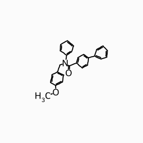 COc1ccc(CN(C(=O)c2ccc(-c3ccccc3)cc2)c2ccccc2)cc1